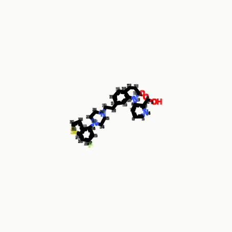 O=C(O)c1ncccc1N1C(=O)CCc2ccc(CCN3CCN(c4cc(F)cc5sccc45)CC3)cc21